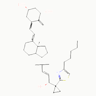 C=C1/C(=C\C=C2/CCC[C@]3(C)[C@@H](C(C)(C)/C=C/[C@H](O)C4(c5nc(CCCCC)cs5)CC4)CC[C@@H]23)C[C@@H](O)C[C@@H]1O